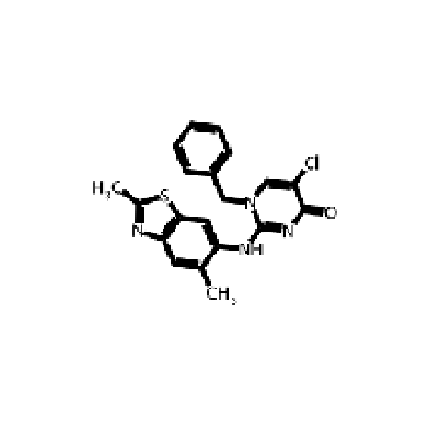 Cc1nc2cc(C)c(Nc3nc(=O)c(Cl)cn3Cc3ccccc3)cc2s1